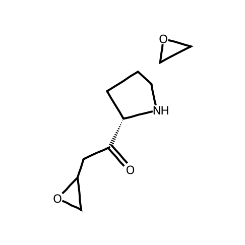 C1CO1.O=C(CC1CO1)[C@@H]1CCCN1